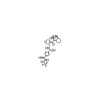 CN/C(C(=O)N1CCOCC1CNC(O)c1ccc(C(=N)NC(=O)C(F)(F)F)cc1)=C1/CCCCC1N